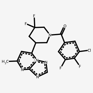 Cc1cc(C2CN(C(=O)c3cc(F)c(F)c(Cl)c3)CC(F)(F)C2)n2ncnc2n1